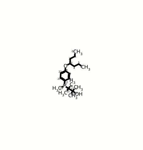 CCCC(CCC)Oc1ccc(P(C)C(C)(C)C(C)(C)O)cc1